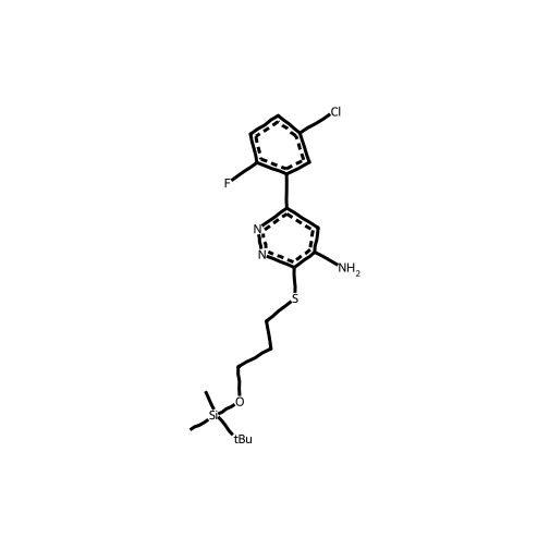 CC(C)(C)[Si](C)(C)OCCCSc1nnc(-c2cc(Cl)ccc2F)cc1N